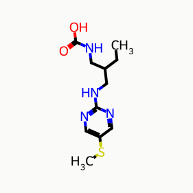 CCC(CNC(=O)O)CNc1ncc(SC)cn1